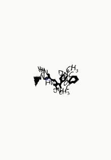 Cc1cccc(C)c1Oc1cn(C)c(=O)cc1-c1cn(C)c(=O)c2[nH]c(/C(C=N)=C/NC3CC3)cc12